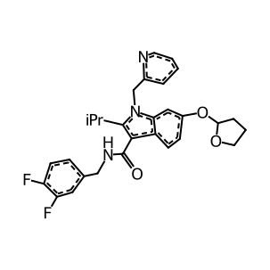 CC(C)c1c(C(=O)NCc2ccc(F)c(F)c2)c2ccc(OC3CCCO3)cc2n1Cc1ccccn1